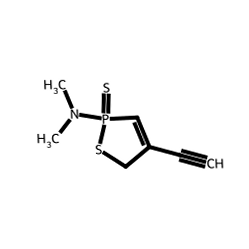 C#CC1=CP(=S)(N(C)C)SC1